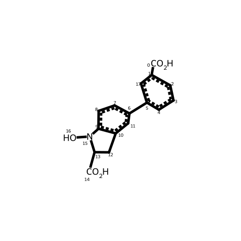 O=C(O)c1cccc(-c2ccc3c(c2)CC(C(=O)O)N3O)c1